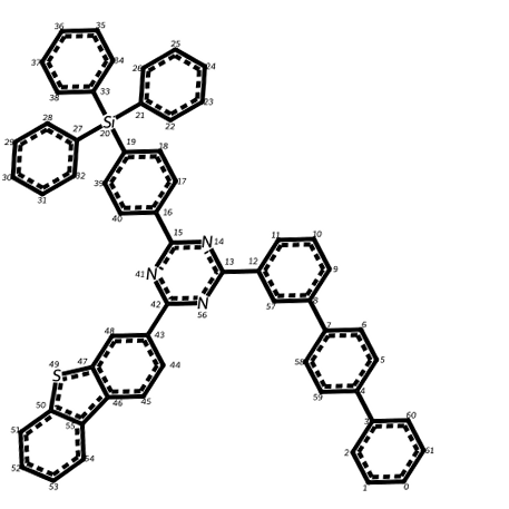 c1ccc(-c2ccc(-c3cccc(-c4nc(-c5ccc([Si](c6ccccc6)(c6ccccc6)c6ccccc6)cc5)nc(-c5ccc6c(c5)sc5ccccc56)n4)c3)cc2)cc1